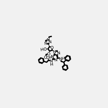 CCn1cnc([C@H]2O[C@@H](n3cnc4c(NCC(c5ccccc5)c5ccccc5)nc(N[C@H](O)Cc5ccccc5)nc43)[C@H](OC=O)[C@@H]2O)n1